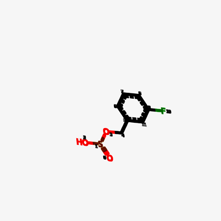 O=S(O)OCc1cccc(F)c1